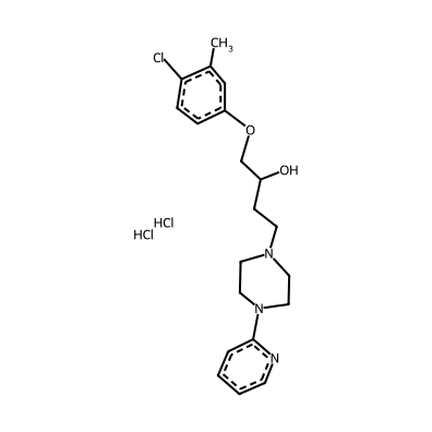 Cc1cc(OCC(O)CCN2CCN(c3ccccn3)CC2)ccc1Cl.Cl.Cl